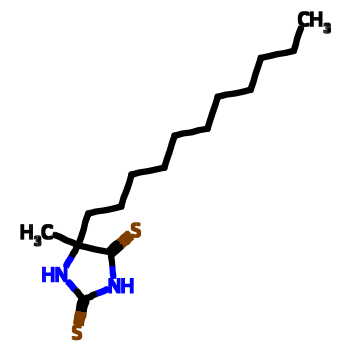 CCCCCCCCCCCC1(C)NC(=S)NC1=S